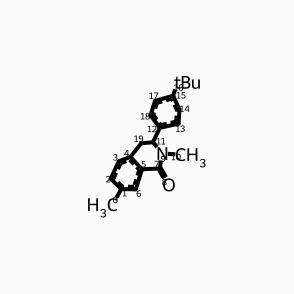 Cc1ccc2c(c1)C(=O)N(C)C(c1ccc(C(C)(C)C)cc1)C2